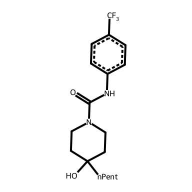 CCCCCC1(O)CCN(C(=O)Nc2ccc(C(F)(F)F)cc2)CC1